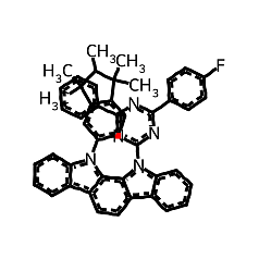 CC1C(C)(C)c2ccc(-n3c4ccccc4c4ccc5c6ccccc6n(-c6nc(-c7ccccc7)nc(-c7ccc(F)cc7)n6)c5c43)cc2C1(C)C